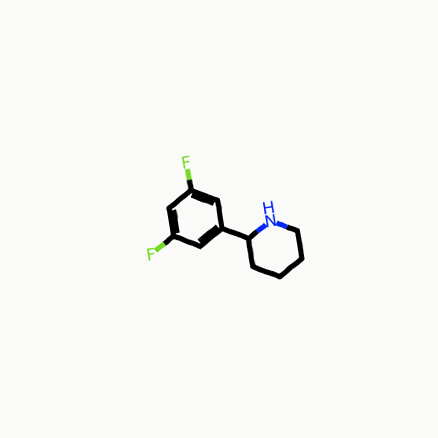 Fc1cc(F)cc(C2CCCCN2)c1